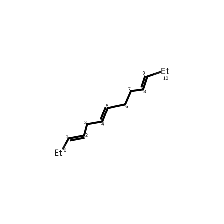 CCC=CCC=CCCC=CCC